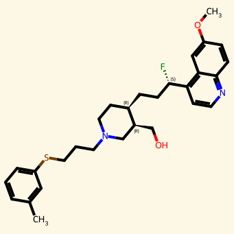 COc1ccc2nccc([C@@H](F)CC[C@@H]3CCN(CCCSc4cccc(C)c4)C[C@@H]3CO)c2c1